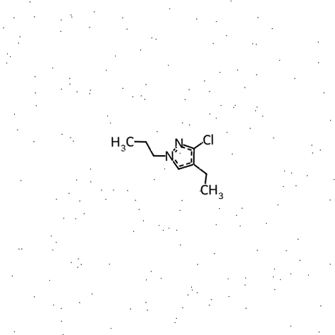 CCCn1cc(CC)c(Cl)n1